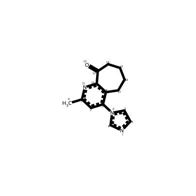 Cc1cc(-n2ccnc2)c2c(n1)C(=O)CCCC2